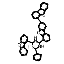 c1ccc(C2NC(c3cccc4c3oc3cc(-c5cccc6c5sc5ccccc56)ccc34)NC(c3cccc4oc5ccccc5c34)N2)cc1